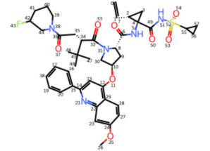 C=C[C@@H]1C[C@]1(NC(=O)[C@@H]1C[C@@H](Oc2cc(-c3ccccc3)nc3cc(OC)ccc23)CN1C(=O)[C@@H](CC(=O)N1CCCC(F)C1)C(C)(C)C)C(=O)NS(=O)(=O)C1CC1